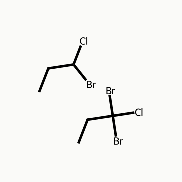 CCC(Cl)(Br)Br.CCC(Cl)Br